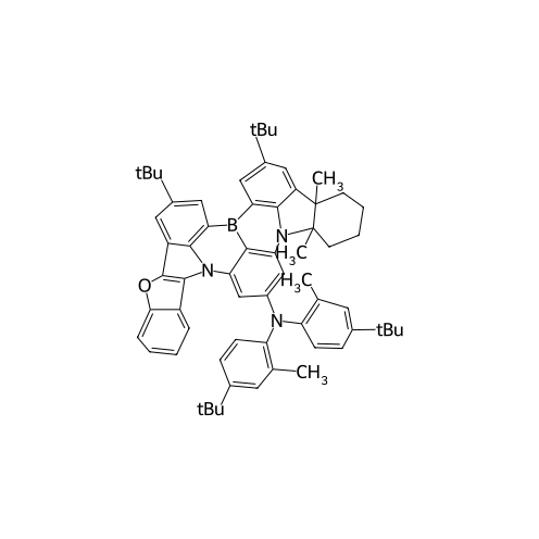 Cc1cc(C(C)(C)C)ccc1N(c1cc2c3c(c1)-n1c4c(cc(C(C)(C)C)cc4c4oc5ccccc5c41)B3c1cc(C(C)(C)C)cc3c1N2C1(C)CCCCC31C)c1ccc(C(C)(C)C)cc1C